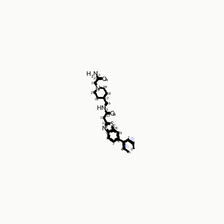 C/C=C\C(=C/C)c1ccc2nc(CC(=O)NCC3CCN(CC(N)=O)CC3)sc2c1